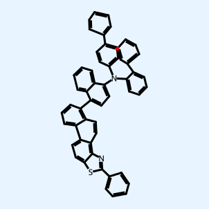 c1ccc(-c2ccc(N(c3ccccc3-c3ccccc3)c3ccc(-c4cccc5c4ccc4c5ccc5sc(-c6ccccc6)nc54)c4ccccc34)cc2)cc1